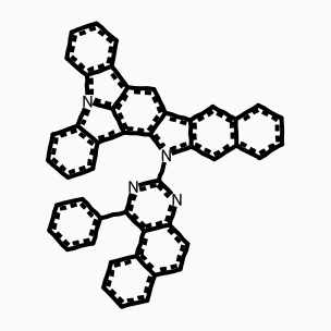 c1ccc(-c2nc(-n3c4cc5ccccc5cc4c4cc5c6ccccc6n6c7ccccc7c(c43)c56)nc3ccc4ccccc4c23)cc1